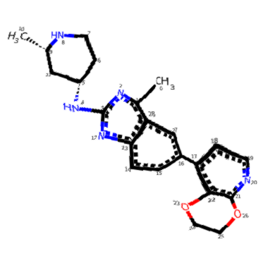 Cc1nc(N[C@H]2CCN[C@@H](C)C2)nc2ccc(-c3ccnc4c3OCCO4)cc12